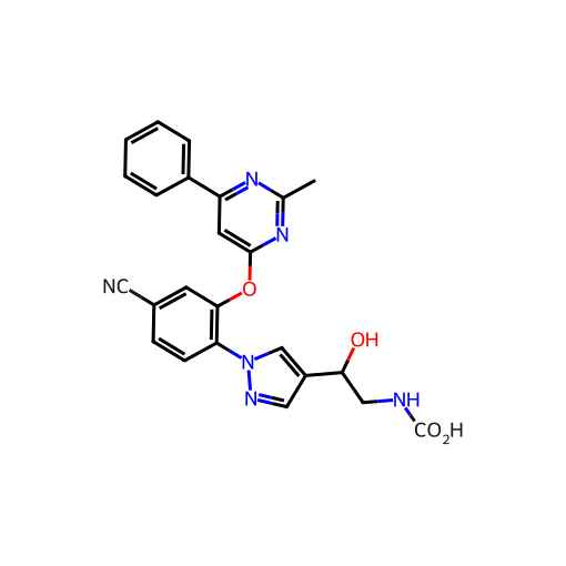 Cc1nc(Oc2cc(C#N)ccc2-n2cc(C(O)CNC(=O)O)cn2)cc(-c2ccccc2)n1